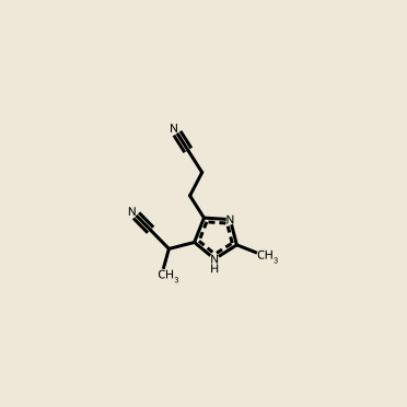 Cc1nc(CCC#N)c(C(C)C#N)[nH]1